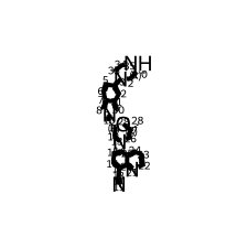 C[C@@H]1CN(c2ccc3cn(C[C@H]4CN(c5ccc(C#N)c6ncccc56)C[C@@H](C)O4)cc3c2)CCN1